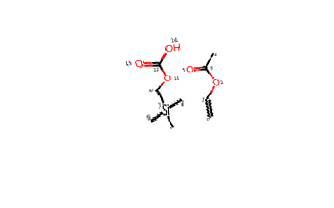 C=COC(C)=O.C[Si](C)(C)COC(=O)O